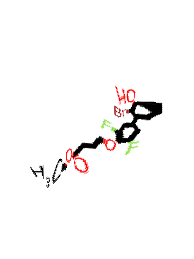 CCOC(=O)CCCOc1c(F)cc(-c2cccc(O)c2Br)cc1F